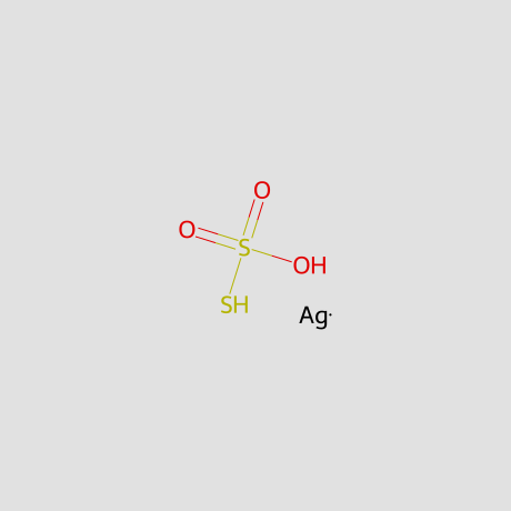 O=S(=O)(O)S.[Ag]